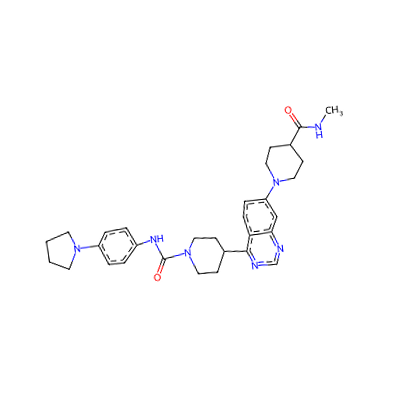 CNC(=O)C1CCN(c2ccc3c(C4CCN(C(=O)Nc5ccc(N6CCCC6)cc5)CC4)ncnc3c2)CC1